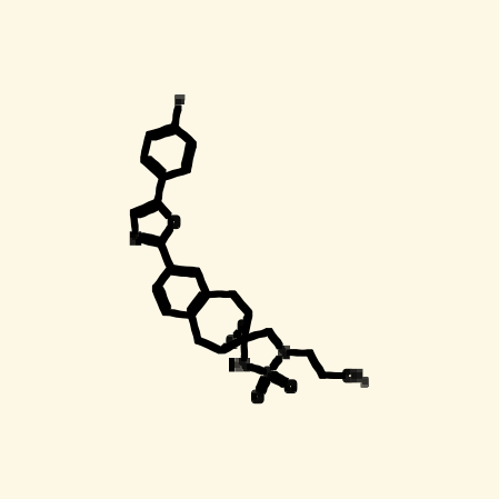 CCCN1CC2(NS1(=O)=O)C1CCC2Cc2cc(-c3ncc(-c4ccc(F)cc4)o3)ccc2C1